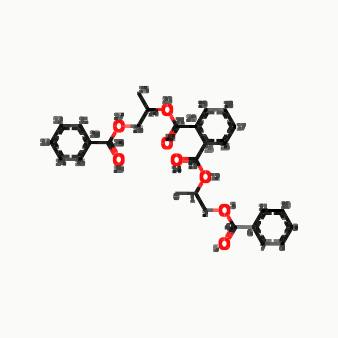 CC(COC(=O)c1ccccc1)OC(=O)c1ccccc1C(=O)OC(C)COC(=O)c1ccccc1